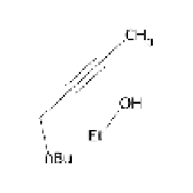 CC#CCCCCC.CCO